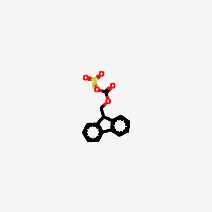 O=C(OCC1c2ccccc2-c2ccccc21)O[SH](=O)=O